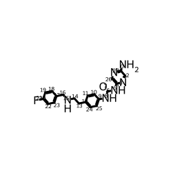 Nc1cnc(NC(=O)Nc2ccc(CCNCc3ccc(F)cc3)cc2)cn1